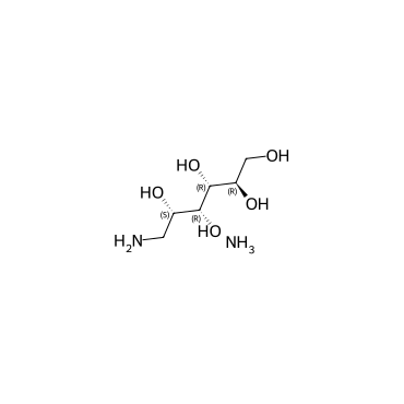 N.NC[C@H](O)[C@@H](O)[C@H](O)[C@H](O)CO